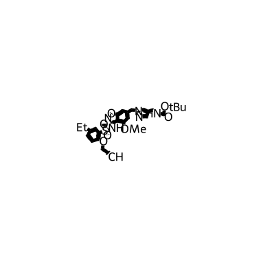 C#CCOc1ccc(CC)cc1S(=O)(=O)Nc1noc2cc(Cn3cc(CNC(=O)OC(C)(C)C)cn3)cc(OC)c12